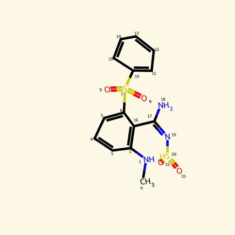 CNc1cccc(S(=O)(=O)c2ccccc2)c1/C(N)=N\[SH](=O)=O